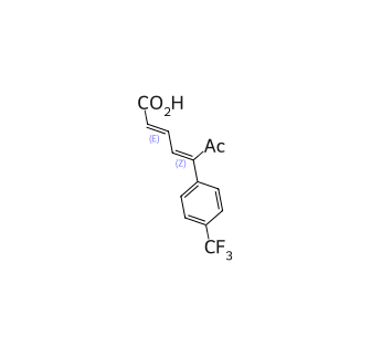 CC(=O)/C(=C\C=C\C(=O)O)c1ccc(C(F)(F)F)cc1